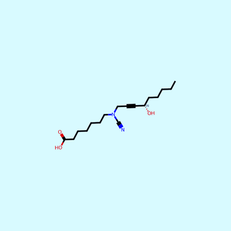 CCCCC[C@H](O)C#CCN(C#N)CCCCCCC(=O)O